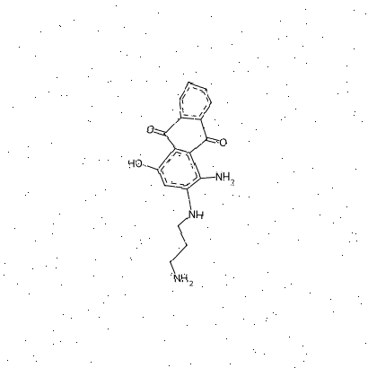 NCCCNc1cc(O)c2c(c1N)C(=O)c1ccccc1C2=O